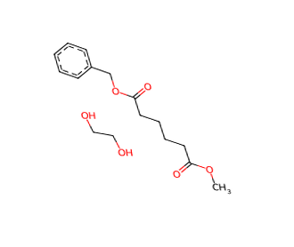 COC(=O)CCCCC(=O)OCc1ccccc1.OCCO